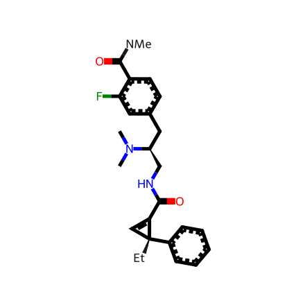 CC[C@@]1(c2ccccc2)C=C1C(=O)NC[C@H](Cc1ccc(C(=O)NC)c(F)c1)N(C)C